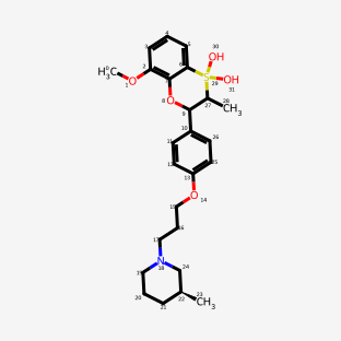 COc1cccc2c1OC(c1ccc(OCCCN3CCC[C@H](C)C3)cc1)C(C)S2(O)O